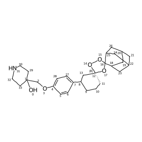 OC1(COc2ccc(C3CCC[C@]4(C3)OOC3(O4)C4CC5CC(C4)CC3C5)cc2)CCNCC1